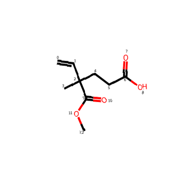 C=CC(C)(CCC(=O)O)C(=O)OC